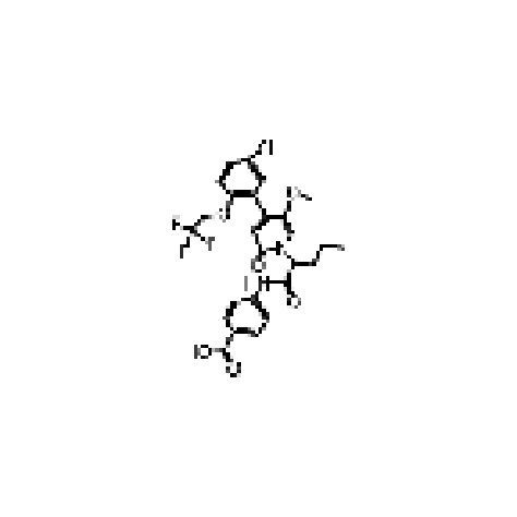 CCCC(C(=O)Nc1ccc(C(=O)O)cc1)n1cc(OC)c(-c2cc(Cl)ccc2OCC(F)(F)F)cc1=O